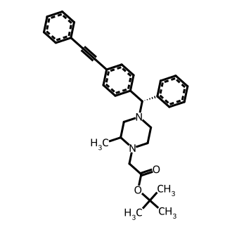 CC1CN([C@@H](c2ccccc2)c2ccc(C#Cc3ccccc3)cc2)CCN1CC(=O)OC(C)(C)C